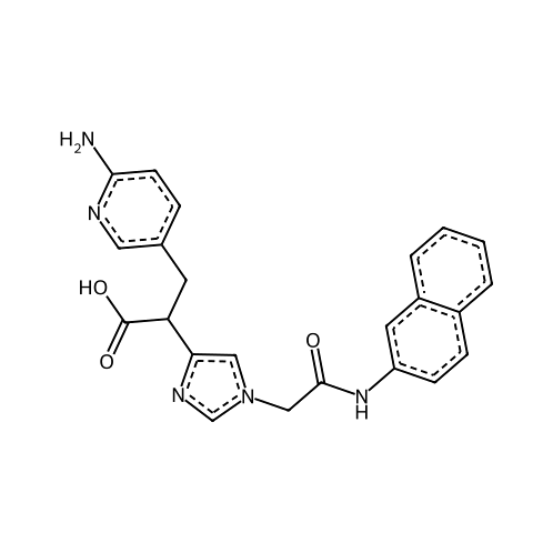 Nc1ccc(CC(C(=O)O)c2cn(CC(=O)Nc3ccc4ccccc4c3)cn2)cn1